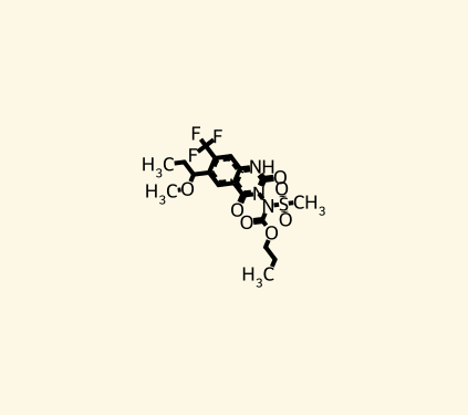 CCCOC(=O)N(n1c(=O)[nH]c2cc(C(F)(F)F)c(C(CC)OC)cc2c1=O)S(C)(=O)=O